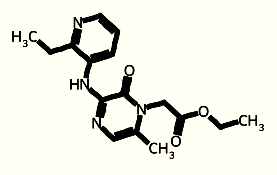 CCOC(=O)Cn1c(C)cnc(Nc2cccnc2CC)c1=O